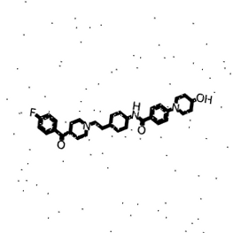 O=C(NC1CCC(CCN2CCC(C(=O)c3ccc(F)cc3)CC2)CC1)c1ccc(N2CCC(O)CC2)cc1